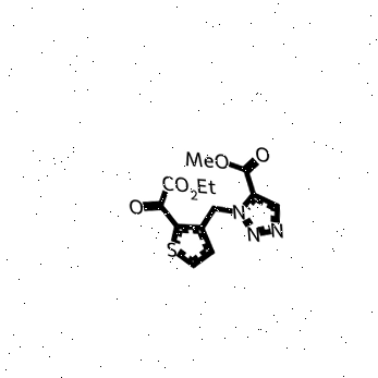 CCOC(=O)C(=O)c1sccc1Cn1nncc1C(=O)OC